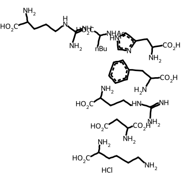 CCCCC(NC(C)=O)C(=O)O.Cl.N=C(N)NCCCC(N)C(=O)O.N=C(N)NCCCC(N)C(=O)O.NC(CC(=O)O)C(=O)O.NC(Cc1c[nH]cn1)C(=O)O.NC(Cc1ccccc1)C(=O)O.NCCCCC(N)C(=O)O